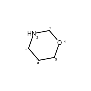 [C]1CNCOC1